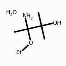 CCOC(C)(N)C(C)(C)O.O